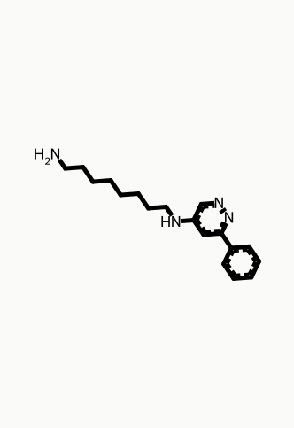 NCCCCCCCCNc1cnnc(-c2ccccc2)c1